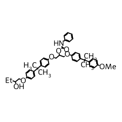 CCC(O)COc1ccc(C(C)(C)c2ccc(OCC(COc3ccc(C(C)(C)c4ccc(OC)cc4)cc3)OC(=O)Nc3ccccc3)cc2)cc1